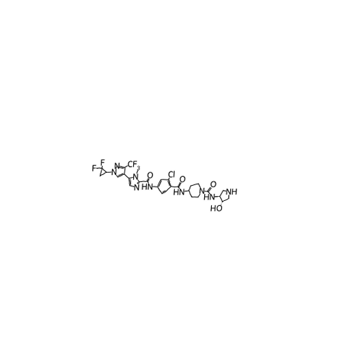 Cn1c(-c2cn(C3CC3(F)F)nc2C(F)(F)F)cnc1C(=O)Nc1ccc(C(=O)NC2CCN(C(=O)N[C@H]3CNC[C@@H]3O)CC2)c(Cl)c1